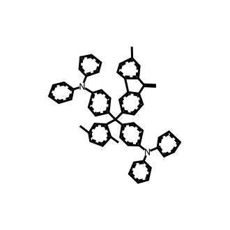 C=C1c2cc(C)ccc2-c2cc(C(c3ccc(N(c4ccccc4)c4ccccc4)cc3)(c3ccc(N(c4ccccc4)c4ccccc4)cc3)c3cc(C)ccc3C)ccc21